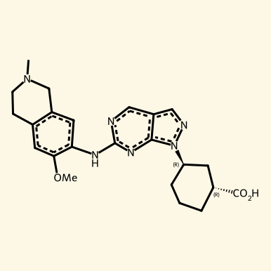 COc1cc2c(cc1Nc1ncc3cnn([C@@H]4CCC[C@@H](C(=O)O)C4)c3n1)CN(C)CC2